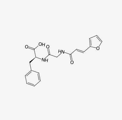 O=C(C=Cc1ccco1)NCC(=O)N[C@@H](Cc1ccccc1)C(=O)O